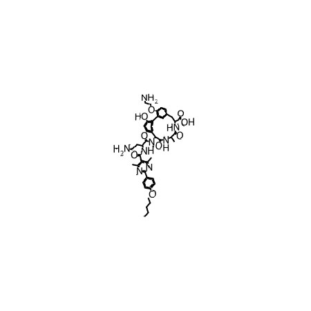 CCCCCOc1ccc(-c2nc(C)c(C(=O)NC(CCN)C(=O)N(C)C3C(=O)NC(C)C(=O)NC(C(=O)O)Cc4ccc(OCCN)c(c4)-c4cc3ccc4O)c(C)n2)cc1